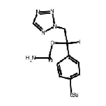 CC(C)(C)c1ccc(C(I)(Cn2ncnn2)OC(N)=O)cc1